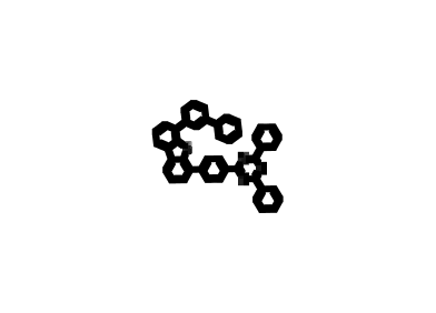 c1ccc(-c2cccc(-c3cccc4c3sc3c(-c5ccc(-c6nc(-c7ccccc7)nc(-c7ccccc7)n6)cc5)cccc34)c2)cc1